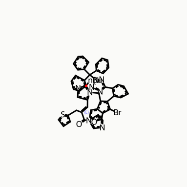 CCCCc1ncc(/C=C(\Cc2cccs2)C(=O)n2ccnc2)n1Cc1c2ccocc-2c(Br)c1-c1ccccc1-c1nnn(C(c2ccccc2)(c2ccccc2)c2ccccc2)n1